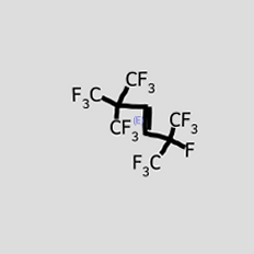 FC(F)(F)C(F)(/C=C/C(C(F)(F)F)(C(F)(F)F)C(F)(F)F)C(F)(F)F